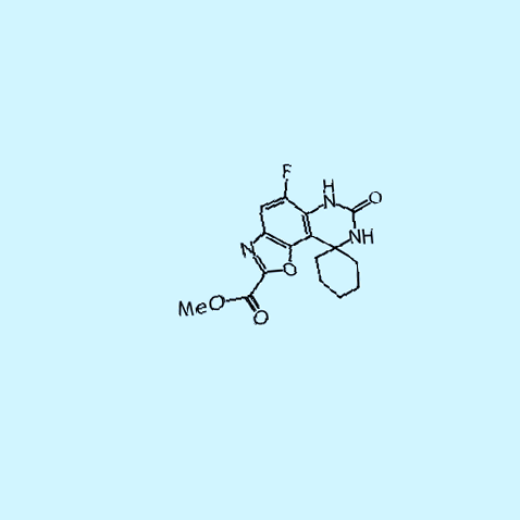 COC(=O)c1nc2cc(F)c3c(c2o1)C1(CCCCC1)NC(=O)N3